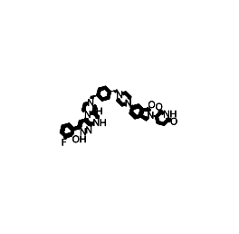 O=C1CC[C@H](N2Cc3ccc(N4CCN(C[C@H]5CC[C@H](CN6CCN7c8cc(-c9cccc(F)c9O)nnc8NC[C@H]7C6)CC5)CC4)cc3C2=O)C(=O)N1